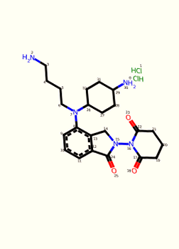 Cl.Cl.NCCCCN(c1cccc2c1CN(N1C(=O)CCCC1=O)C2=O)C1CCC(N)CC1